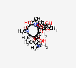 CO[C@]1(C)C[C@H](O[C@H]2[C@H](C)[C@@H](O[C@@H]3O[C@H](C)C[C@H](N(C)C)[C@H]3O)[C@](C)(O)C[C@@H](C)CN(C)C(=O)C[C@H](O)[C@H](CC(C)C)NC(=O)[C@@H]2C)O[C@@H](C)[C@@H]1O